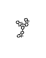 CC1(C)c2ccccc2-c2cc(-c3cc4c5ccc6oc7ccccc7c6c5n5c6nc7ccccc7nc6c(c3)c45)ccc21